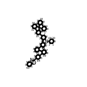 c1ccc(-n2c3ccc(-c4ccc5c(c4)C4(c6ccccc6-c6ccccc64)c4ccccc4-5)cc3c3cc(-c4ccccc4-c4ccccc4-c4ccc(-c5nc6ccccc6o5)cc4)ccc32)cc1